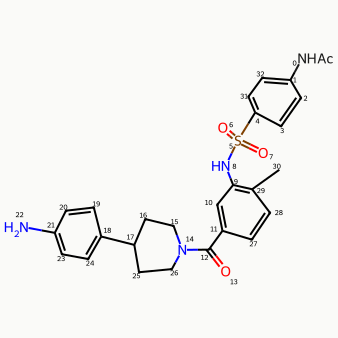 CC(=O)Nc1ccc(S(=O)(=O)Nc2cc(C(=O)N3CCC(c4ccc(N)cc4)CC3)ccc2C)cc1